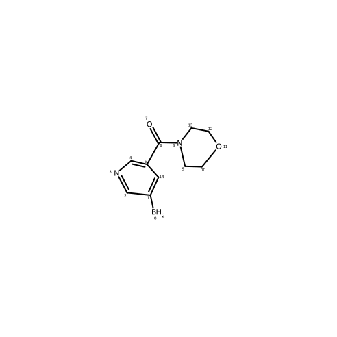 Bc1cncc(C(=O)N2CCOCC2)c1